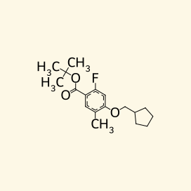 Cc1cc(C(=O)OC(C)(C)C)c(F)cc1OCC1CCCC1